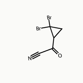 N#CC(=O)C1CC1(Br)Br